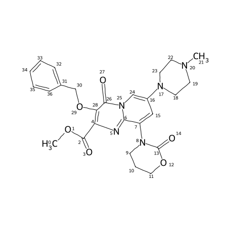 COC(=O)c1nc2c(N3CCCOC3=O)cc(N3CCN(C)CC3)cn2c(=O)c1OCc1ccccc1